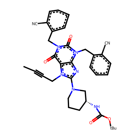 CC#CCn1c(N2CCC[C@@H](NC(=O)OC(C)(C)C)C2)nc2c1c(=O)n(Cc1ccccc1C#N)c(=O)n2Cc1ccccc1C#N